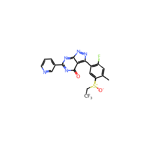 Cc1cc(F)c(C2=C3C(=O)N=C(c4cccnc4)N=C3N=N2)cc1[S+]([O-])CC(F)(F)F